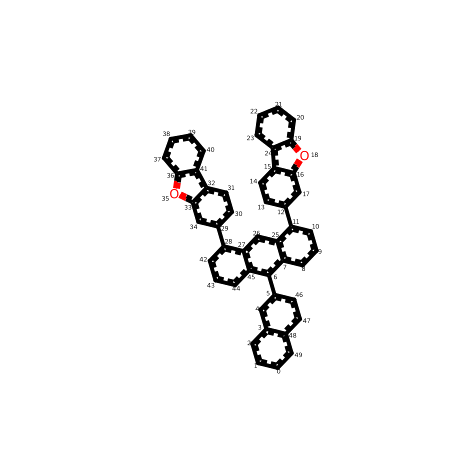 c1ccc2cc(-c3c4cccc(-c5ccc6c(c5)oc5ccccc56)c4cc4c(-c5ccc6c(c5)oc5ccccc56)cccc34)ccc2c1